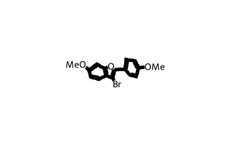 COc1ccc(-c2oc3cc(OC)ccc3c2Br)cc1